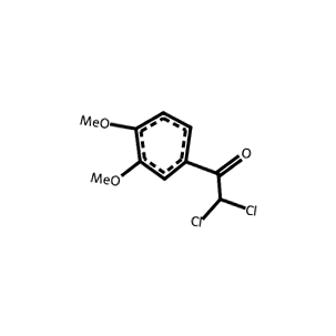 COc1ccc(C(=O)C(Cl)Cl)cc1OC